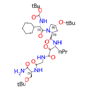 CCCC(NC(=O)[C@@H]1C[C@@H](OC(C)(C)C)CN1C(=O)[C@@H](NC(=O)OC(C)(C)C)C1CCCCC1)C(=O)C(=O)NCC(=O)N[C@@H](COC(C)(C)C)C(N)=O